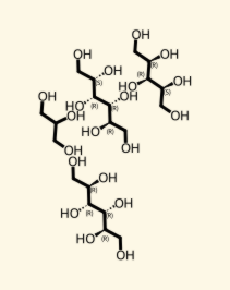 OCC(O)CO.OC[C@@H](O)[C@@H](O)[C@H](O)[C@@H](O)CO.OC[C@@H](O)[C@@H](O)[C@H](O)[C@H](O)CO.OC[C@@H](O)[C@H](O)[C@@H](O)CO